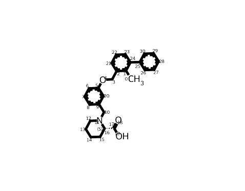 Cc1c(COc2cccc(CN3CCCC[C@H]3C(=O)O)c2)cccc1-c1ccccc1